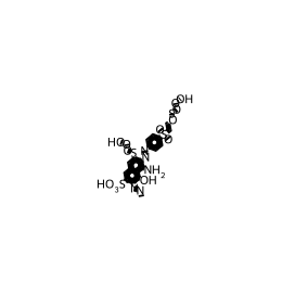 C/N=N/c1c(S(=O)(=O)O)cc2cc(SOOO)c(/N=N/c3ccc(S(=O)(=O)CCOSOOO)cc3)c(N)c2c1O